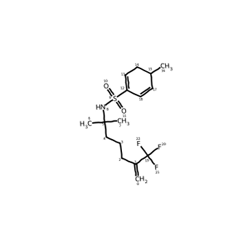 C=C(CCCC(C)(C)NS(=O)(=O)C1=CCC(C)C=C1)C(F)(F)F